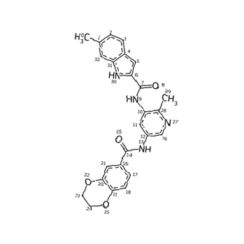 Cc1ccc2cc(C(=O)Nc3cc(NC(=O)c4ccc5c(c4)OCCO5)cnc3C)[nH]c2c1